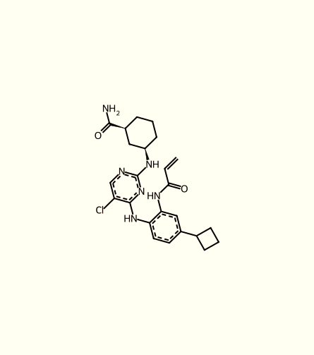 C=CC(=O)Nc1cc(C2CCC2)ccc1Nc1nc(N[C@@H]2CCC[C@H](C(N)=O)C2)ncc1Cl